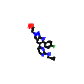 OCCn1cc2cc(-c3ccnc(NCC4CC4)n3)c(-c3ccc(F)cc3)nc2n1